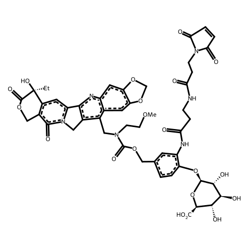 CC[C@@]1(O)C(=O)OCc2c1cc1n(c2=O)Cc2c-1nc1cc3c(cc1c2CN(CCOC)C(=O)OCc1ccc(O[C@@H]2O[C@H](C(=O)O)[C@@H](O)[C@H](O)[C@H]2O)c(NC(=O)CCNC(=O)CCN2C(=O)C=CC2=O)c1)OCO3